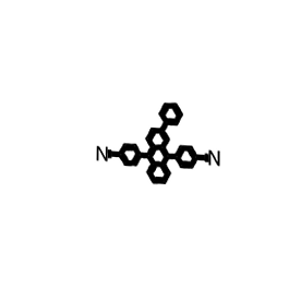 N#Cc1ccc(-c2c3ccccc3c(-c3ccc(C#N)cc3)c3cc(-c4ccccc4)ccc23)cc1